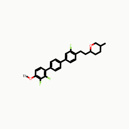 CCOc1ccc(-c2ccc(-c3ccc(CCC4CCC(C)CO4)c(F)c3)cc2)c(F)c1F